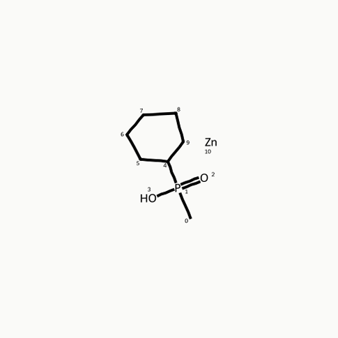 CP(=O)(O)C1CCCCC1.[Zn]